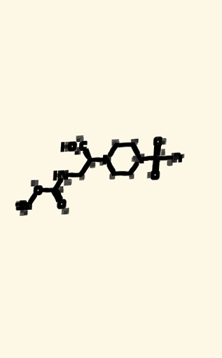 CC(C)S(=O)(=O)N1CCN([C@@H](CNC(=O)OC(C)(C)C)C(=O)O)CC1